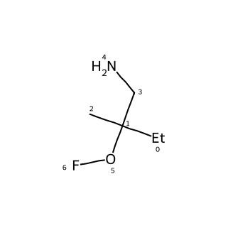 CCC(C)(CN)OF